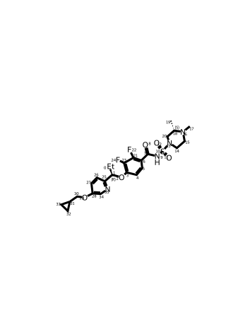 CC[C@@H](Oc1ccc(C(=O)NS(=O)(=O)N2CCN(C)[C@@H](C)C2)c(F)c1F)c1ccc(OCC2CC2)cn1